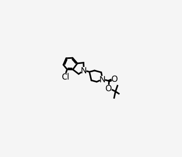 CC(C)(C)OC(=O)N1CCC(N2Cc3cccc(Cl)c3C2)CC1